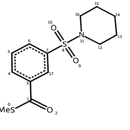 CSC(=O)c1cccc(S(=O)(=O)N2CCCCC2)c1